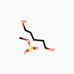 CO[SH](=O)=O.OCCCCCO